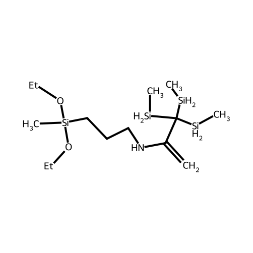 C=C(NCCC[Si](C)(OCC)OCC)C([SiH2]C)([SiH2]C)[SiH2]C